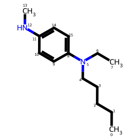 CCCCCN(CC)c1ccc(NC)cc1